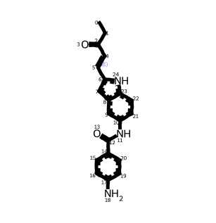 CCC(=O)/C=C/c1cc2cc(NC(=O)c3ccc(N)cc3)ccc2[nH]1